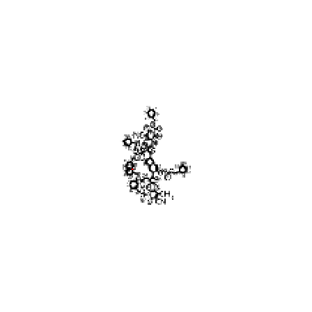 CC1=C(C#N)C(=O)N(C(=O)OCc2ccccc2)C(=O)/C1=N\c1cc(CC(=O)OCc2ccccc2)c(C2=CC3C=C4OC(C(=O)OCc5ccccc5)(C(=O)OCc5ccccc5)c5cc(/N=C6/C(=O)N(C(=O)OCc7ccccc7)C(=O)C(C#N)=C6C)sc5C4=CC3C=C2OCC(=O)OCc2ccccc2)s1